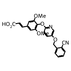 COc1cc(/C=C/C(=O)O)cc(OC)c1Oc1ccc(OCc2ccccc2C#N)cn1